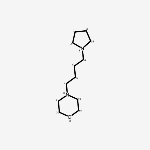 C1CCN(CCCCN2CCOCC2)C1